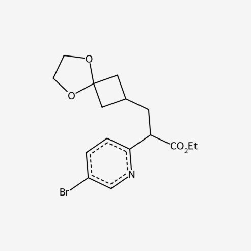 CCOC(=O)C(CC1CC2(C1)OCCO2)c1ccc(Br)cn1